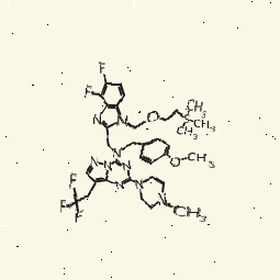 COc1ccc(CN(Cc2nc3c(F)c(F)ccc3n2COCCS(C)(C)C)c2nc(N3CCN(C)CC3)nc3c(CC(F)(F)F)cnn23)cc1